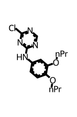 CCCOc1ccc(Nc2ncnc(Cl)n2)cc1OCCC